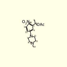 CC(=O)OC(C)c1cc(N2CCN(C)CC2)ccc1[N+](=O)[O-]